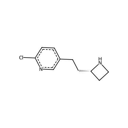 Clc1ccc(CC[C@H]2CCN2)cn1